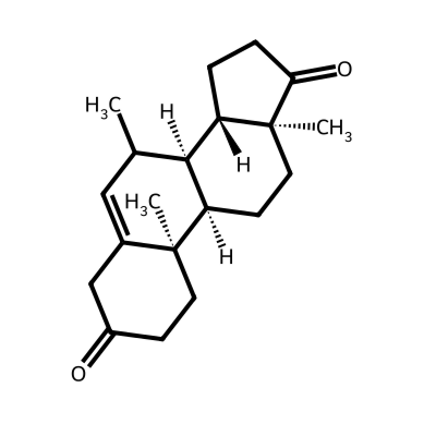 CC1C=C2CC(=O)CC[C@]2(C)[C@@H]2CC[C@]3(C)C(=O)CC[C@H]3[C@H]12